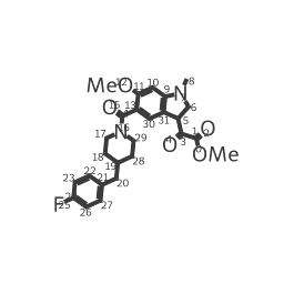 COC(=O)C(=O)C1CN(C)c2cc(OC)c(C(=O)N3CCC(Cc4ccc(F)cc4)CC3)cc21